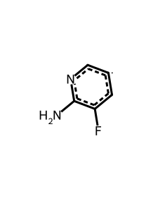 Nc1nc[c]cc1F